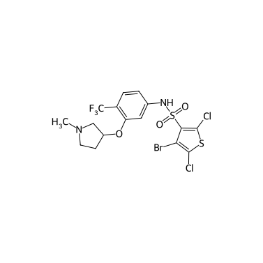 CN1CCC(Oc2cc(NS(=O)(=O)c3c(Cl)sc(Cl)c3Br)ccc2C(F)(F)F)C1